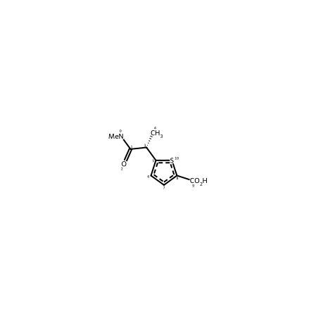 CNC(=O)[C@H](C)c1ccc(C(=O)O)s1